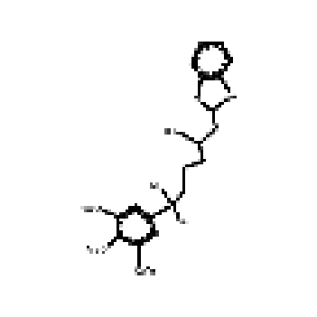 COc1cc(C(C#N)(CCCC(N)CC2Oc3ccccc3O2)C(C)C)cc(OC)c1OC